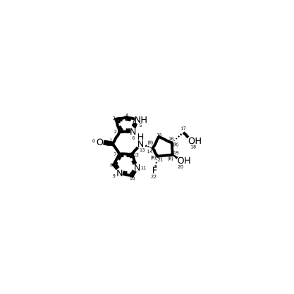 O=C(c1cc[nH]n1)c1cncnc1N[C@@H]1C[C@H](CO)[C@@H](O)[C@@H]1F